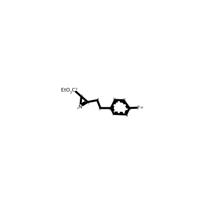 CCOC(=O)C1N=C1CCc1ccc(F)cc1